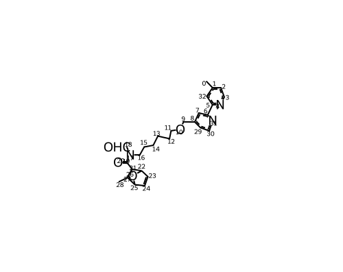 Cc1ccnc(-c2cc(COCCCCCCN(C=O)C(=O)C3C4C=CC(O4)C3C)ccn2)c1